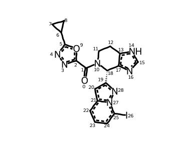 O=C(c1nnc(C2CC2)o1)N1CCc2[nH]cnc2[C@@H]1c1cc2cccc(I)n2n1